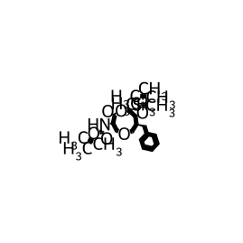 C[C@@H]1OC(=O)[C@@H](NC(=O)OC(C)(C)C)COC[C@H](Cc2ccccc2)[C@H]1O[Si](C)(C)C(C)(C)C